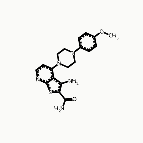 COc1ccc(N2CCN(c3ccnc4sc(C(N)=O)c(N)c34)CC2)cc1